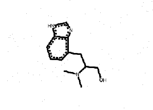 CN(C)C(CO)Cc1cccc2[nH]cnc12